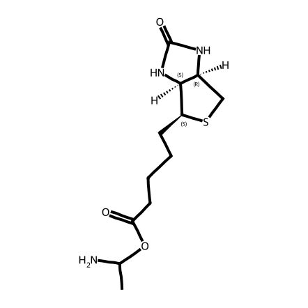 CC(N)OC(=O)CCCC[C@@H]1SC[C@@H]2NC(=O)N[C@@H]21